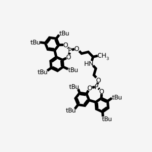 CC(CCOp1oc2c(C(C)(C)C)cc(C(C)(C)C)cc2c2cc(C(C)(C)C)cc(C(C)(C)C)c2o1)NCCOp1oc2c(C(C)(C)C)cc(C(C)(C)C)cc2c2cc(C(C)(C)C)cc(C(C)(C)C)c2o1